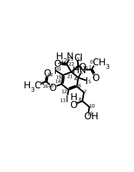 CC(=O)NC1(I)C(CC(O)CO)=C(I)C(OC(C)=O)=C(I)C1(C(N)=O)C(=O)Cl